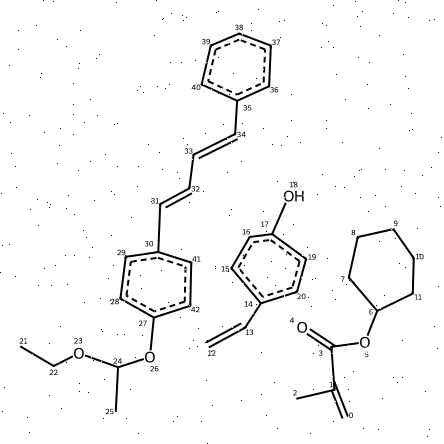 C=C(C)C(=O)OC1CCCCC1.C=Cc1ccc(O)cc1.CCOC(C)Oc1ccc(C=CC=Cc2ccccc2)cc1